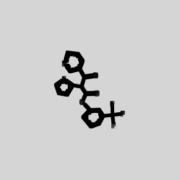 O=C(Oc1cccc(C(F)(F)F)c1)C(C(=O)c1cccnc1)c1cccs1